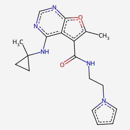 Cc1oc2ncnc(NC3(C)CC3)c2c1C(=O)NCCn1cccc1